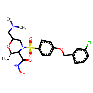 CCN(C)CC1CN(S(=O)(=O)c2ccc(OCc3cccc(Cl)c3)cc2)C(C(=O)NO)[C@H](C)O1